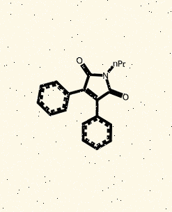 CCCN1C(=O)C(c2ccccc2)=C(c2ccccc2)C1=O